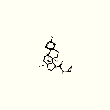 C[C@@]12CC[C@H](C(=O)NC3CC3)[C@H]1[C@@H]1CCc3cc(O)ccc3[C@H]1CC2